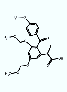 COCOc1cc(OCOC)c(C(=O)c2ccc(OC)cc2)c(C(I)C(=O)O)c1